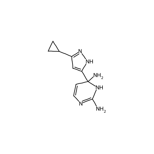 NC1=NC=CC(N)(c2cc(C3CC3)n[nH]2)N1